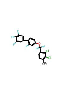 CCCc1ccc(C(F)(F)Oc2ccc(-c3cc(F)c(F)c(F)c3)c(F)c2)c(Cl)c1Cl